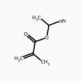 [CH2]CCC(C)OC(=O)C(=C)C